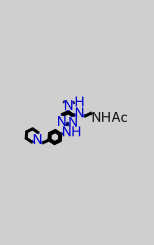 CC(=O)NCCNc1nc(Nc2ccc(CN3CCCCC3)cc2)ncc1N(C)C